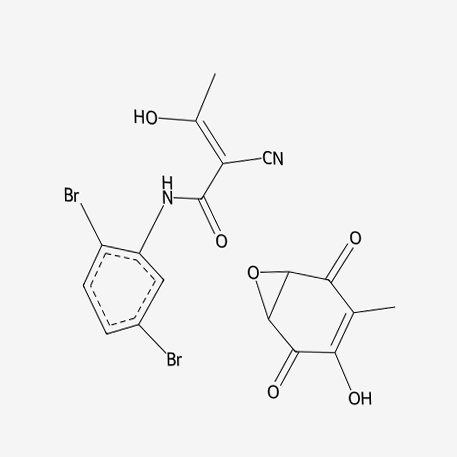 CC(O)=C(C#N)C(=O)Nc1cc(Br)ccc1Br.CC1=C(O)C(=O)C2OC2C1=O